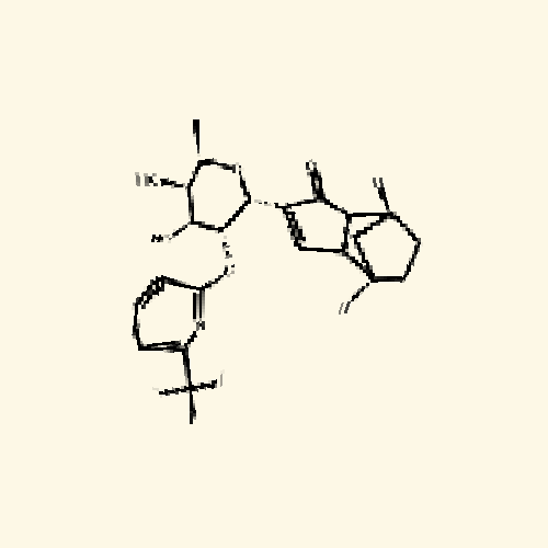 C[C@H]1O[C@H](C2=CC3C(C2=O)[C@@H]2CC[C@H]3C2)[C@H](Oc2cccc(C(F)(F)F)n2)[C@@H](O)[C@H]1O